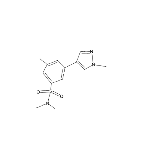 Cc1cc(-c2cnn(C)c2)cc(S(=O)(=O)N(C)C)c1